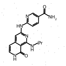 CC(C)Nc1nc(Nc2ccc(C(N)=O)cn2)cc2cc[nH]c(=O)c12